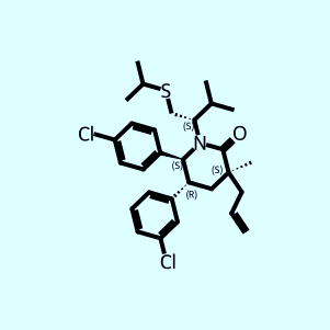 C=CC[C@@]1(C)C[C@H](c2cccc(Cl)c2)[C@@H](c2ccc(Cl)cc2)N([C@H](CSC(C)C)C(C)C)C1=O